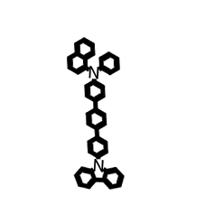 c1ccc(N(c2ccc(-c3ccc(-c4ccc(-n5c6ccccc6c6ccccc65)cc4)cc3)cc2)c2cccc3ccccc23)cc1